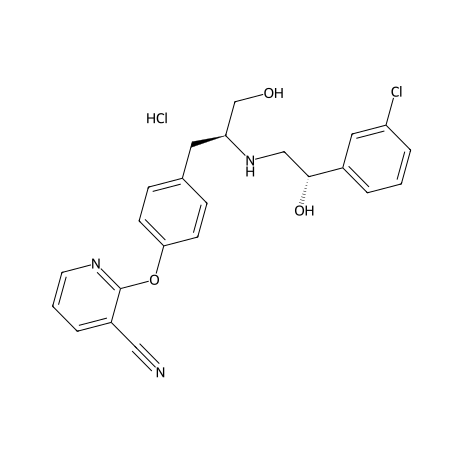 Cl.N#Cc1cccnc1Oc1ccc(C[C@@H](CO)NC[C@@H](O)c2cccc(Cl)c2)cc1